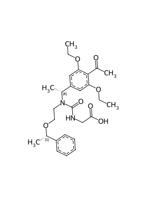 CCOc1cc([C@@H](C)N(CCO[C@@H](C)c2ccccc2)C(=O)NCC(=O)O)cc(OCC)c1C(C)=O